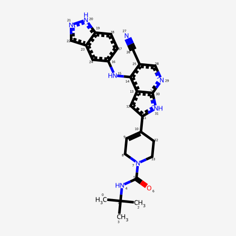 CC(C)(C)NC(=O)N1CC=C(c2cc3c(Nc4ccc5[nH]ncc5c4)c(C#N)cnc3[nH]2)CC1